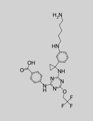 NCCCCCNc1cccc(C2(Nc3nc(Nc4ccc(C(=O)O)cc4)nc(OCC(F)(F)F)n3)CC2)c1